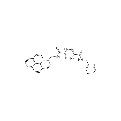 O=C(NCC1=C2C=Cc3cccc4c3C2C(C=C1)C=C4)C1=NNC(C(=O)NCc2ccccn2)=NN1